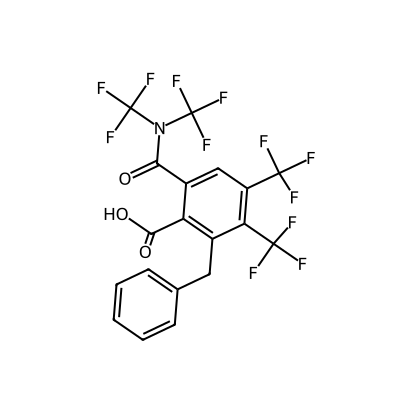 O=C(O)c1c(C(=O)N(C(F)(F)F)C(F)(F)F)cc(C(F)(F)F)c(C(F)(F)F)c1Cc1ccccc1